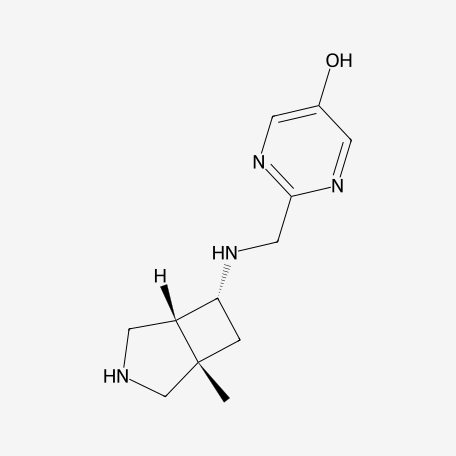 C[C@@]12CNC[C@@H]1[C@H](NCc1ncc(O)cn1)C2